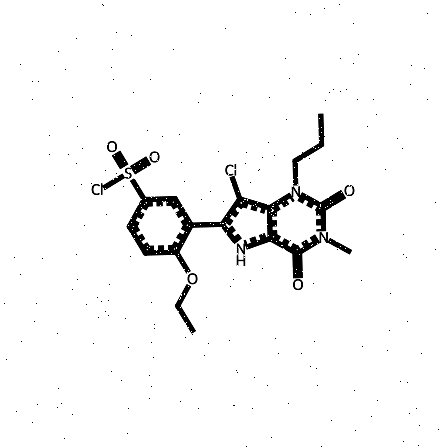 CCCn1c(=O)n(C)c(=O)c2[nH]c(-c3cc(S(=O)(=O)Cl)ccc3OCC)c(Cl)c21